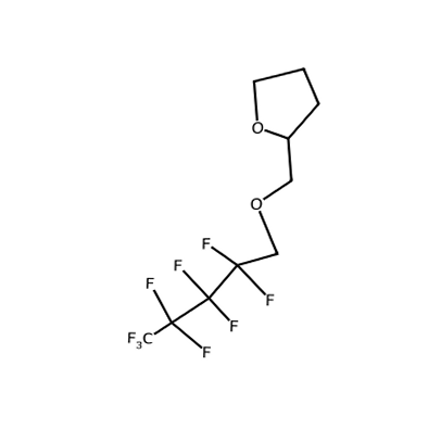 FC(F)(F)C(F)(F)C(F)(F)C(F)(F)COCC1CCCO1